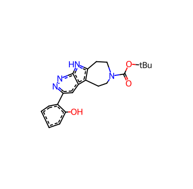 CC(C)(C)OC(=O)N1CCc2[nH]c3nnc(-c4ccccc4O)cc3c2CC1